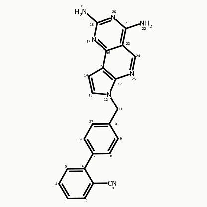 N#Cc1ccccc1-c1ccc(Cn2ccc3c4nc(N)nc(N)c4cnc32)cc1